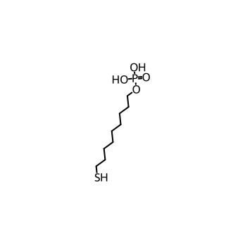 O=P(O)(O)OCCCCCCCCCS